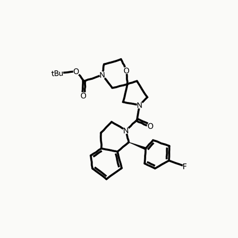 CC(C)(C)OC(=O)N1CCOC2(CCN(C(=O)N3CCc4ccccc4[C@@H]3c3ccc(F)cc3)C2)C1